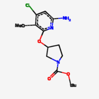 COc1c(Cl)cc(N)nc1OC1CCN(C(=O)OC(C)(C)C)C1